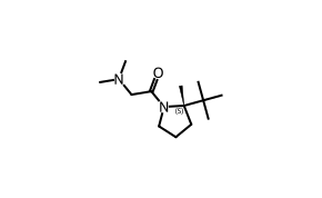 CN(C)CC(=O)N1CCC[C@@]1(C)C(C)(C)C